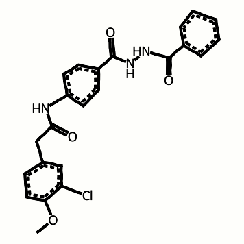 COc1ccc(CC(=O)Nc2ccc(C(=O)NNC(=O)c3ccccc3)cc2)cc1Cl